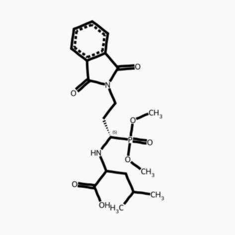 COP(=O)(OC)[C@@H](CCN1C(=O)c2ccccc2C1=O)NC(CC(C)C)C(=O)O